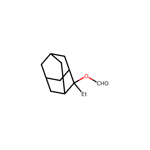 CCC1(OC=O)C2CC3CC(C2)CC1C3